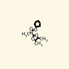 CC1OC(N(C)C(=O)Oc2ccccc2)OC1C